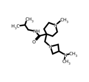 CC(C)CNC(=O)C1(CN2CC(N(C)C)C2)CCN(C)CC1